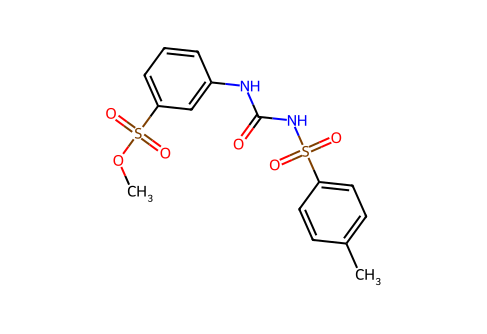 COS(=O)(=O)c1cccc(NC(=O)NS(=O)(=O)c2ccc(C)cc2)c1